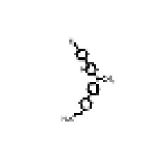 CCCC1CCC(c2ccc(C(C)c3ccc(-c4ccc(C#N)cc4)c(F)c3)cc2)CC1